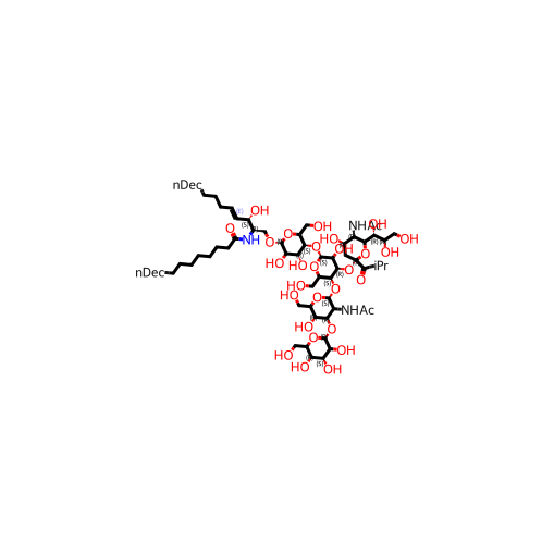 CCCCCCCCCCCCC/C=C/[C@H](O)[C@@H](CO[C@@H]1OC(CO)[C@@H](O[C@@H]2OC(CO)[C@H](O[C@@H]3OC(CO)[C@H](O)[C@H](O[C@@H]4OC(CO)[C@H](O)[C@H](O)C4O)C3NC(C)=O)[C@H](O[C@]3(C(=O)C(C)C)C[C@@H](O)[C@@H](NC(C)=O)C([C@H](O)[C@H](O)CO)O3)C2O)[C@H](O)C1O)NC(=O)CCCCCCCCCCCCCCCCC